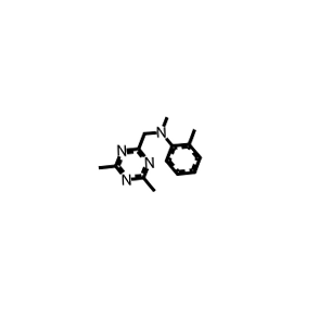 Cc1nc(C)nc(CN(C)c2ccccc2C)n1